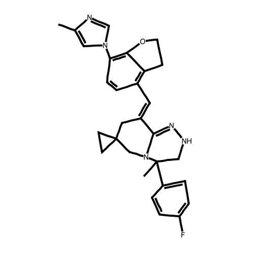 Cc1cn(-c2ccc(/C=C3\CC4(CC4)CN4C3=NNCC4(C)c3ccc(F)cc3)c3c2OCC3)cn1